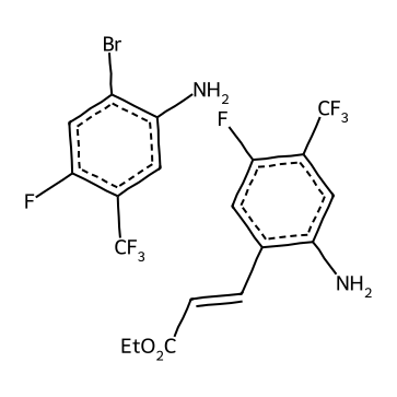 CCOC(=O)C=Cc1cc(F)c(C(F)(F)F)cc1N.Nc1cc(C(F)(F)F)c(F)cc1Br